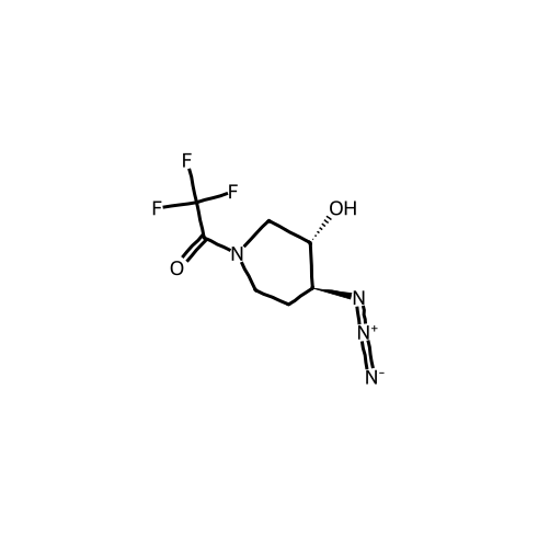 [N-]=[N+]=N[C@H]1CCN(C(=O)C(F)(F)F)C[C@@H]1O